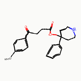 COc1ccc(C(=O)CCC(=O)OC2(c3ccccc3)CCNCC2)cc1